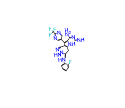 N#Cc1c(C/C(=C/Nc2ccccc2F)N=N)[nH]c(/C(N)=N\C=N)c1-c1cnc(C(F)(F)F)nc1